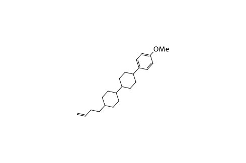 C=CCCC1CCC(C2CCC(c3ccc(OC)cc3)CC2)CC1